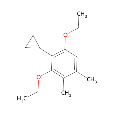 CCOc1cc(C)c(C)c(OCC)c1C1CC1